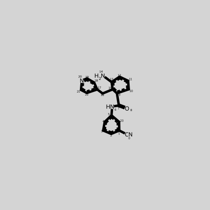 N#Cc1cccc(NC(=O)c2cccc(N)c2Cc2ccncc2)c1